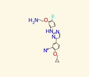 N#Cc1cc(-c2ccnc(Nc3ccc(F)c(OCCN)c3)n2)ccc1OCC1CC1